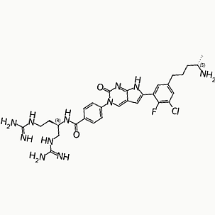 C[C@H](N)CCCc1cc(Cl)c(F)c(-c2cc3cn(-c4ccc(C(=O)N[C@H](CCNC(=N)N)CNC(=N)N)cc4)c(=O)nc3[nH]2)c1